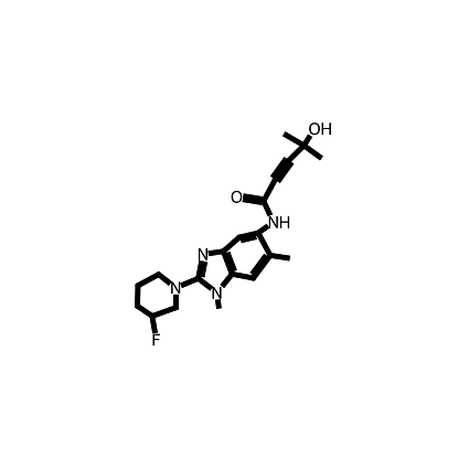 Cc1cc2c(cc1NC(=O)C#CC(C)(C)O)nc(N1CCCC(F)C1)n2C